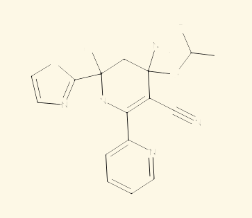 N#CC1=C(c2ccccn2)NC(Cl)(c2nccs2)CC1(N)OC(F)F